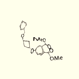 COC(=O)c1ccc(O[C@H]2C[C@H](OCc3ccccc3)C2)cc1C(=O)OC